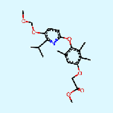 COCOc1ccc(Oc2c(C)cc(OCC(=O)OC)c(C)c2C)nc1C(C)C